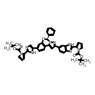 CC(C)(C)OC(=O)n1cccc1-c1ncc(-c2ccc3c(c2)O[C@@H](c2ccccc2)n2nc(-c4ccc5nc(-c6cccn6C(=O)OC(C)(C)C)[nH]c5c4)cc2-3)[nH]1